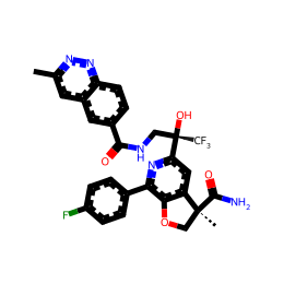 Cc1cc2cc(C(=O)NC[C@](O)(c3cc4c(c(-c5ccc(F)cc5)n3)OC[C@]4(C)C(N)=O)C(F)(F)F)ccc2nn1